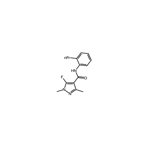 CCCc1ccccc1NC(=O)c1c(C)nn(C)c1F